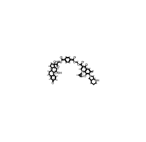 COc1c(N2CC3CCCNC3C2)c(F)cc2c(=O)c(C(=O)OCOC(=O)c3ccc(C(=O)OCC(=O)[C@@]4(O)CCC5C6CCC7=CC(=O)C=C[C@]7(C)C6[C@@H](O)C[C@@]54C)cc3)cn(C3CC3)c12